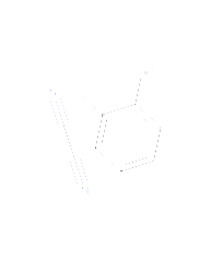 CCCc1ccccc1O.N#CC#N